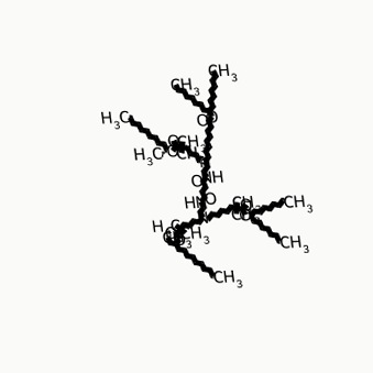 CCCCCCCCCCC(CC)OC(=O)C(C)(C)CCCCN(CCCCCCC(C)(C)C(=O)OC(CCCCCCCC)CCCCCCCC)CCNC(=O)CCC(=O)NCCN(CCCCCCCC(=O)OC(CCCCCCCC)CCCCCCCC)CCCCC(C)(C)C(=O)O[C@H](CC)CCCCCCCCCC